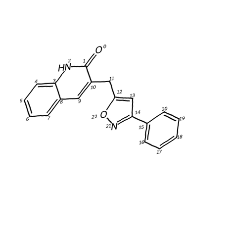 O=c1[nH]c2ccccc2cc1Cc1cc(-c2ccccc2)no1